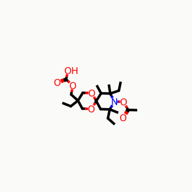 CCC1(COC(=O)O)COC2(CC(C)(CC)N(OC(C)=O)C(C)(CC)C2C)OC1